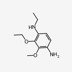 CCNc1ccc(N)c(OC)c1OCC